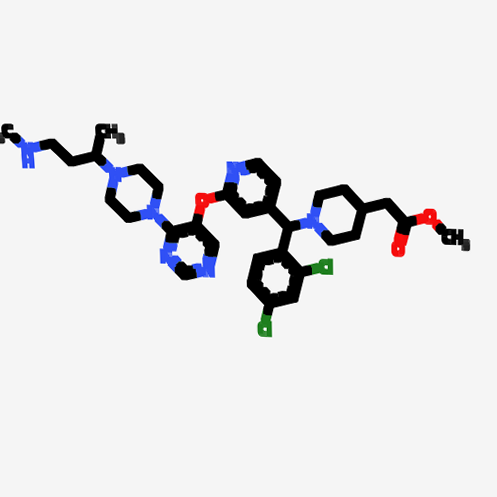 CNCCC(C)N1CCN(c2ncncc2Oc2cc(C(c3ccc(Cl)cc3Cl)N3CCC(CC(=O)OC)CC3)ccn2)CC1